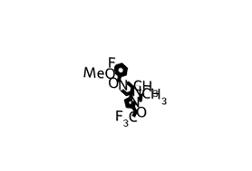 COc1c(F)cccc1C(=O)N1CCC2(CC1)c1ccc(C(=O)C(F)(F)F)n1C[C@H](C)N2C